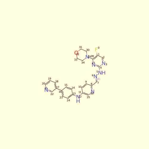 Fc1cnc(N/N=C/c2ccc(Nc3ccc(-c4cccnc4)cc3)cn2)nc1N1CCOCC1